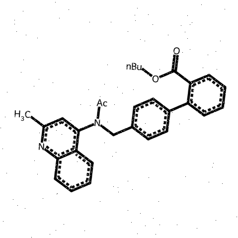 CCCCOC(=O)c1ccccc1-c1ccc(CN(C(C)=O)c2cc(C)nc3ccccc23)cc1